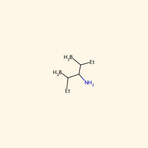 BC(CC)C(N)C(B)CC